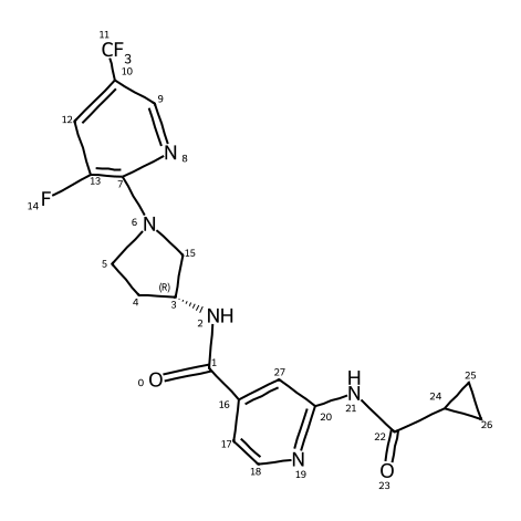 O=C(N[C@@H]1CCN(c2ncc(C(F)(F)F)cc2F)C1)c1ccnc(NC(=O)C2CC2)c1